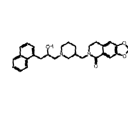 O=C1c2cc3c(cc2CCN1CC1CCCN(CC(O)Cc2cccc4ccccc24)C1)OCO3